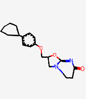 O=C1CCN2CC(COc3ccc(C4CCCCC4)cc3)OC2=N1